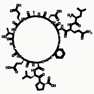 CC(C)C[C@H](NC(=O)[C@@H]1CSCc2ccccc2CSC[C@H](NC(=O)[C@H](CCC(N)=O)NC(=O)[C@@H](N)CC(C)C)C(=O)N[C@@H](CC(=O)O)C(=O)N[C@@H](C)C(=O)N[C@@H](CCC(=O)O)C(=O)N[C@@H]([C@H](C)O)C(=O)NCC(=O)N[C@@H](CCC(=O)O)C(=O)N1)C(=O)N1CCC[C@H]1C(=O)O